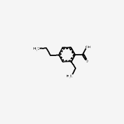 CCCc1ccc(C(=O)O)c(CC)c1